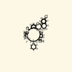 C[C@@H]1[C@@H](C)C[C@@H](N2CCCCC2)C[C@H](O)[C@@H]2CC[C@H]2CN2C[C@@]3(CCCc4cc(Cl)ccc43)COc3ccc(cc32)C(=O)NS1(=O)=O